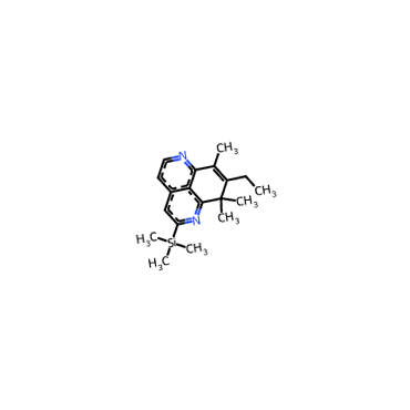 CCC1=C(C)c2nccc3cc([Si](C)(C)C)nc(c23)C1(C)C